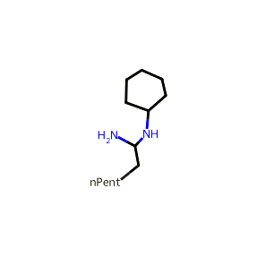 CCCCCCC(N)NC1CCCCC1